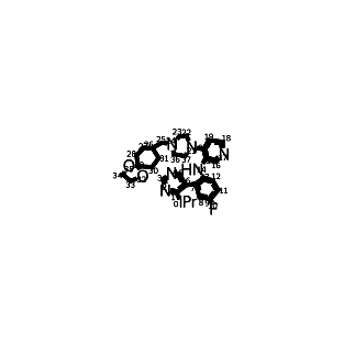 CC(C)c1ncncc1-c1cc(F)ccc1Nc1cnccc1N1CCN(CC2CCC3(CC2)OCCO3)CC1